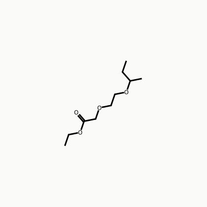 CCOC(=O)COCCOC(C)CC